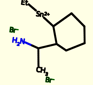 C[CH2][Sn+2][CH]1CCCCC1C(C)N.[Br-].[Br-]